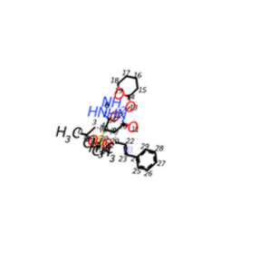 CC(C)C[C@](C(=O)NN)([C@H](C(=O)NOC1CCCCO1)C(C)/C=C/c1ccccc1)S(C)(=O)=O